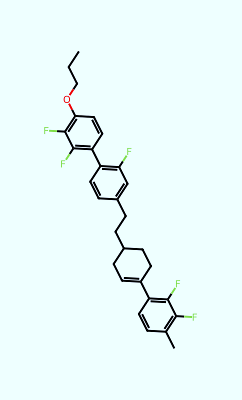 CCCOc1ccc(-c2ccc(CCC3CC=C(c4ccc(C)c(F)c4F)CC3)cc2F)c(F)c1F